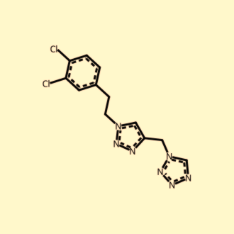 Clc1ccc(CCn2cc(Cn3cnnn3)nn2)cc1Cl